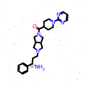 N[C@@H](CCN1CC2CN(C(=O)C3CCN(c4ncccn4)CC3)CC2C1)c1ccccc1